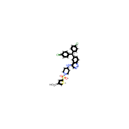 O=C(O)c1csc(S(=O)(=O)N2CCC(Nc3cnnc4ccc(C(c5ccc(Cl)cc5)c5ccc(Cl)cc5)cc34)CC2)c1